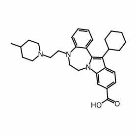 CC1CCN(CCN2CCn3c(c(C4CCCCC4)c4ccc(C(=O)O)cc43)-c3ccccc32)CC1